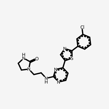 O=C1NCCN1CCNc1nccc(-c2cnc(-c3cccc(Cl)c3)s2)n1